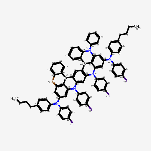 CCCCc1ccc(N(c2ccc(I)cc2)c2cc3c4c(c2)N(c2ccc(I)cc2)c2cc5c(cc2B4c2ccccc2S3)B2c3ccccc3N(c3ccccc3)c3cc(N(c4ccc(I)cc4)c4ccc(CCCC)cc4)cc(c32)N5c2ccc(I)cc2)cc1